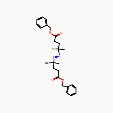 CC(C#N)(CCC(=O)OCc1ccccc1)/N=N/C(C)(C#N)CCC(=O)OCc1ccccc1